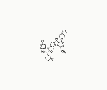 CCC(=O)N[C@@H](C(=O)N1CCN(C)CC1)C1(c2ccc(NC(=O)[C@@H](Nc3ccc(Cl)nn3)[C@H]3CCCC4(CC4)C3)c(F)c2)CC1